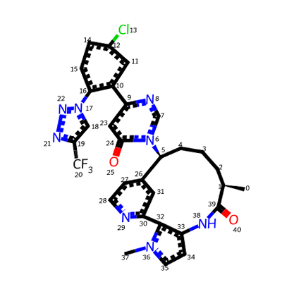 C[C@@H]1CCC[C@H](n2cnc(-c3cc(Cl)ccc3-n3cc(C(F)(F)F)nn3)cc2=O)c2ccnc(c2)-c2c(ccn2C)NC1=O